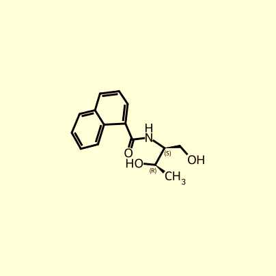 C[C@@H](O)[C@H](CO)NC(=O)c1cccc2ccccc12